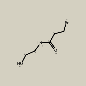 O=C(CCBr)NCCO